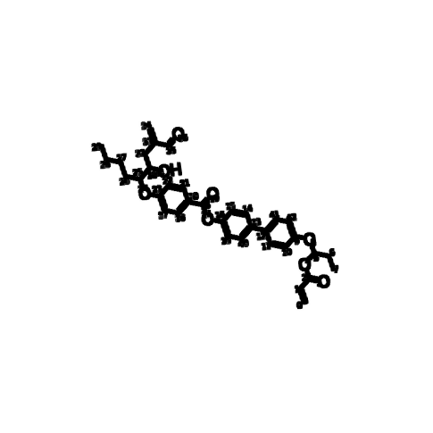 C=CC(=O)OC(CC)Oc1ccc(-c2ccc(OC(=O)c3ccc(OC(CCCC)C(O)CC(=C)C=O)cc3)cc2)cc1